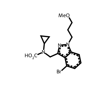 COCCCn1nc(CN(C(=O)O)C2CC2)c2c(Br)cccc21